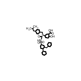 CC(C)Cc1ccc(CN(C(=O)CNS(=O)(=O)c2ccc(-c3ccccc3)c(Cc3ccccc3)c2)c2ccc(O)c(C(=O)O)c2)cc1